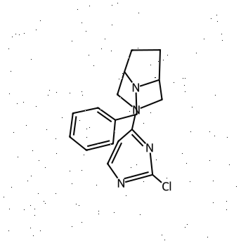 Clc1nccc(N2CC3CCC(C2)N3Cc2ccccc2)n1